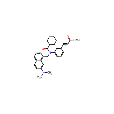 COC(=O)/C=C/c1cccc(N(Cc2cccc3ccc(N(C)C)cc23)C(=O)C2CCCCC2)c1